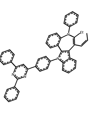 C/C=C\C1=C(CC)N(c2ccccc2)c2ccccc2-c2c1c1ccccc1n2-c1ccc(-c2cc(-c3ccccc3)nc(-c3ccccc3)n2)cc1